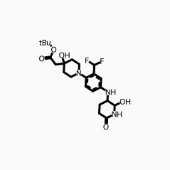 CC(C)(C)OC(=O)CC1(O)CCN(c2ccc(NC3CCC(=O)NC3O)cc2C(F)F)CC1